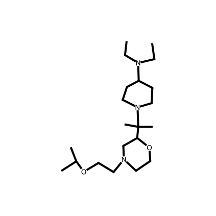 CCN(CC)C1CCN(C(C)(C)C2CN(CCOC(C)C)CCO2)CC1